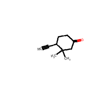 C#CC1CCC(=O)CC1(C)C